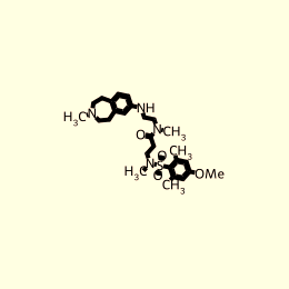 COc1cc(C)c(S(=O)(=O)N(C)CCC(=O)N(C)CCNc2ccc3c(c2)CCN(C)CC3)c(C)c1